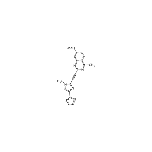 COc1ccc2c(C)nc(C#Cc3nc(-c4nccs4)cn3C)nc2c1